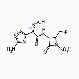 Nc1nc(/C(=N/O)C(=O)NC2C(=O)N(S(=O)(=O)O)C2CF)cs1